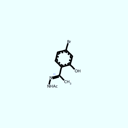 CC(=O)N/N=C(\C)c1ccc(Br)cc1O